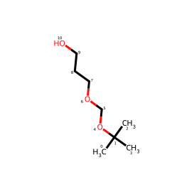 CC(C)(C)OCOCCCO